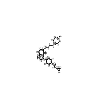 CN1CCN(CCCOc2ccc3ncc(-c4ccc(OCC5CC5)cc4)n3n2)CC1